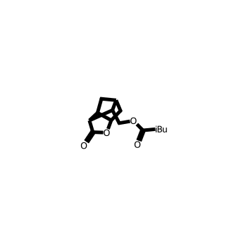 CCC(C)C(=O)OCC1C2CC3OC(=O)C1C3C2